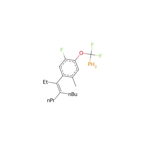 CCCC/C(CCC)=C(/CC)c1cc(F)c(OC(F)(F)P)cc1C